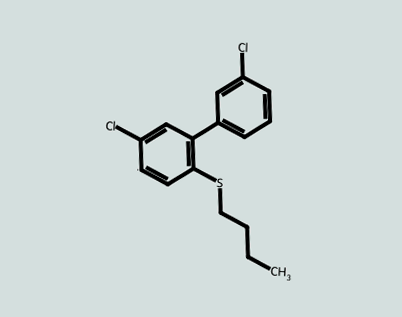 CCCCSc1c[c]c(Cl)cc1-c1cccc(Cl)c1